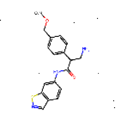 NCC(C(=O)Nc1ccc2cnsc2c1)c1ccc(CO[N+](=O)[O-])cc1